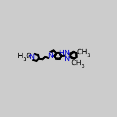 Cc1cc(C)c2nc(-c3ccc4c(ccn4CCCC4CCN(C)CC4)c3)[nH]c2c1